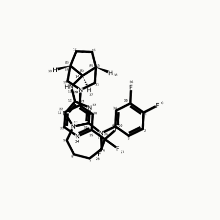 Fc1ccc(N2CCCCn3nc(N[C@@H]4[C@@H]5CC[C@H]4CN(c4ccnc(C(F)(F)F)c4)C5)nc32)cc1F